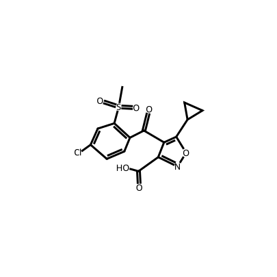 CS(=O)(=O)c1cc(Cl)ccc1C(=O)c1c(C(=O)O)noc1C1CC1